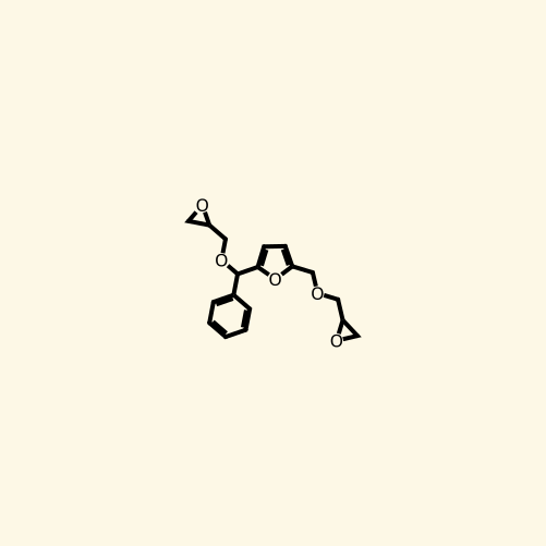 c1ccc(C(OCC2CO2)c2ccc(COCC3CO3)o2)cc1